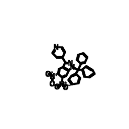 O=[N+]([O-])c1cc2c(-c3ccncc3)nn(C(c3ccccc3)(c3ccccc3)c3ccccc3)c2cc1[N+](=O)[O-]